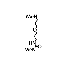 CNCCCOCCCNC(=O)NC